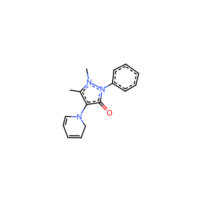 Cc1c(N2C=CC=CC2)c(=O)n(-c2ccccc2)n1C